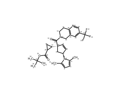 Cc1ccc(C)n1[C@@H]1C=C[C@@](C(=O)N2CCc3ncc(C(F)(F)F)cc3C2)(C2CC2C(=O)OC(C)(C)C)C1